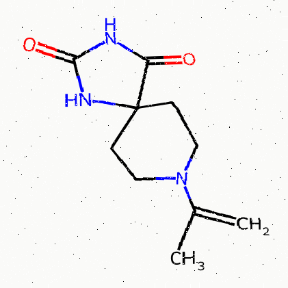 C=C(C)N1CCC2(CC1)NC(=O)NC2=O